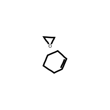 C1=CCCCC1.C1CO1